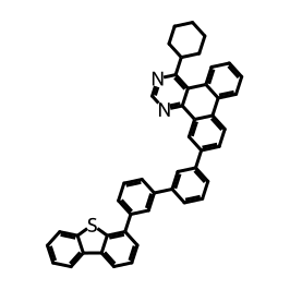 c1cc(-c2cccc(-c3cccc4c3sc3ccccc34)c2)cc(-c2ccc3c4ccccc4c4c(C5CCCCC5)ncnc4c3c2)c1